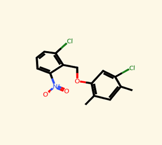 Cc1cc(C)c(OCc2c(Cl)cccc2[N+](=O)[O-])cc1Cl